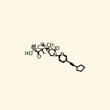 C[C@@](C[C@H]1CN(c2ccc(C#CC3CCCC3)cn2)C(=O)O1)(C(=O)NO)S(C)(=O)=O